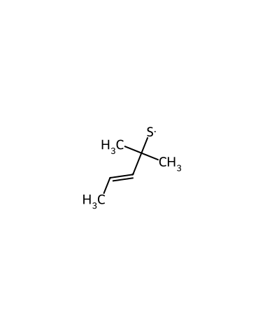 CC=CC(C)(C)[S]